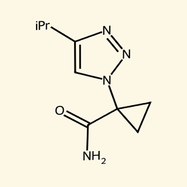 CC(C)c1cn(C2(C(N)=O)CC2)nn1